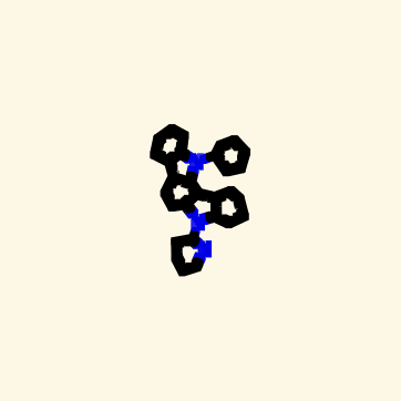 c1ccc(-n2c3ccccc3c3ccc4c(c5ccccc5n4-c4ccccn4)c32)cc1